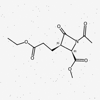 CCOC(=O)CC[C@H]1C(=O)N(C(C)=O)[C@H]1C(=O)OC